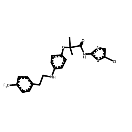 CC(C)(Oc1ccc(NCCc2ccc(C(F)(F)F)cc2)cc1)C(=O)Nc1ncc(Cl)s1